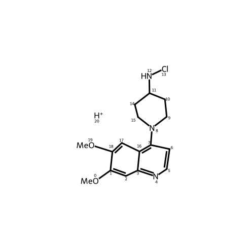 COc1cc2nccc(N3CCC(NCl)CC3)c2cc1OC.[H+]